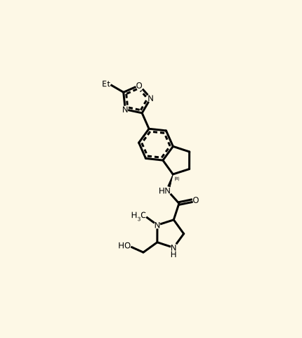 CCc1nc(-c2ccc3c(c2)CC[C@H]3NC(=O)C2CNC(CO)N2C)no1